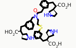 O=C(O)[C@@H](Cc1cccc(CC(=O)N(CCSc2cccc(C[C@H](C(=O)O)[C@H]3CCNC3)c2)Cc2cccc(C[C@H](C(=O)O)[C@H]3CCNC3)c2)c1)[C@H]1CCNC1